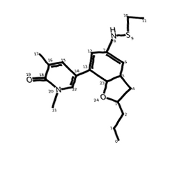 CCCC1CC2C=C(NSCC)C=C(c3cc(C)c(=O)n(C)c3)C2O1